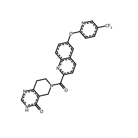 O=C(c1ccc2cc(Oc3ccc(C(F)(F)F)cn3)ccc2n1)N1CCc2nc[nH]c(=O)c2C1